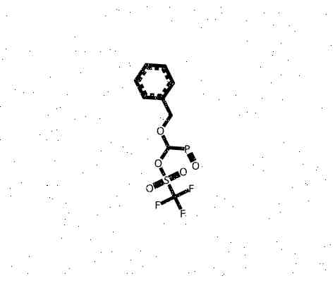 O=PC(OCc1ccccc1)OS(=O)(=O)C(F)(F)F